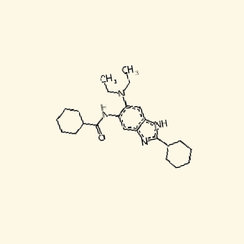 CCN(CC)c1cc2[nH]c(C3CCCCC3)nc2cc1NC(=O)C1CCCCC1